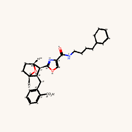 O=C(NCCCCC1CCCCC1)c1coc([C@H]2[C@@H](Cc3ccccc3C(=O)O)[C@@H]3CC[C@H]2O3)n1